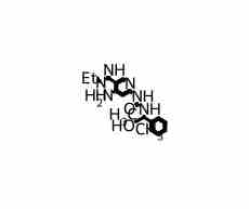 CCNC(=N)c1cnc(NC(=O)NC(c2ccccc2)C(C)(C)O)cc1N